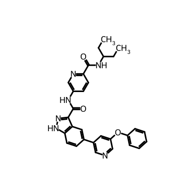 CCC(CC)NC(=O)c1ccc(NC(=O)c2n[nH]c3ccc(-c4cncc(Oc5ccccc5)c4)cc23)cn1